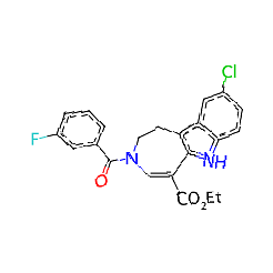 CCOC(=O)C1=CN(C(=O)c2cccc(F)c2)CCc2c1[nH]c1ccc(Cl)cc21